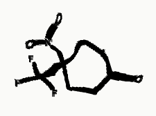 O=C1CCC([N+](=O)[O-])(C(F)(F)F)CC1